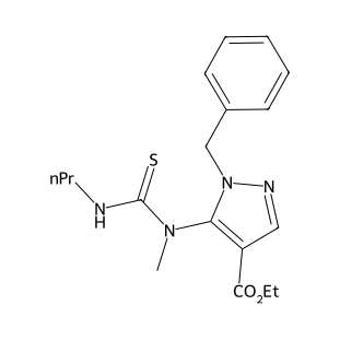 CCCNC(=S)N(C)c1c(C(=O)OCC)cnn1Cc1ccccc1